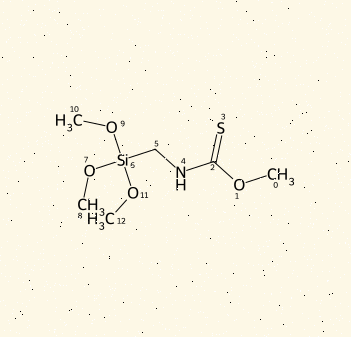 COC(=S)NC[Si](OC)(OC)OC